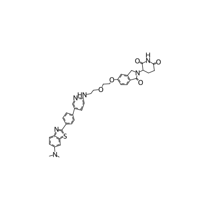 CN(C)c1ccc2nc(-c3ccc(-c4ccc(NCCOCCOc5ccc6c(c5)CN(C5CCC(=O)NC5=O)C6=O)nc4)cc3)sc2c1